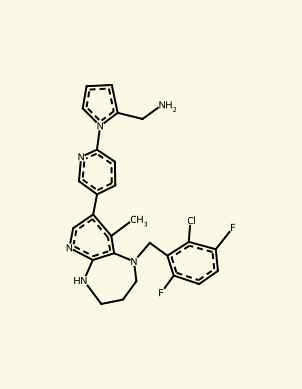 Cc1c(-c2ccc(-n3cccc3CN)nc2)cnc2c1N(Cc1c(F)ccc(F)c1Cl)CCCN2